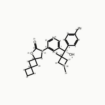 CC(C)c1ccc([C@](O)(c2cncc(N3CC4(CC5(CCC5)C4)OC3=O)c2)C2(C)CN(C)C2)cc1